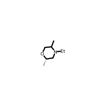 CCN1C[C@H](C)OCC1C